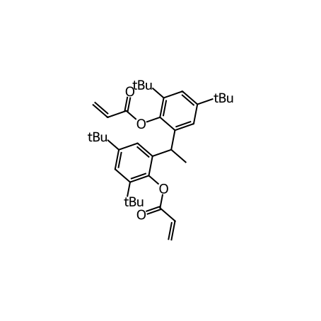 C=CC(=O)Oc1c(C(C)c2cc(C(C)(C)C)cc(C(C)(C)C)c2OC(=O)C=C)cc(C(C)(C)C)cc1C(C)(C)C